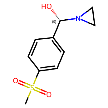 CS(=O)(=O)c1ccc([C@H](O)N2CC2)cc1